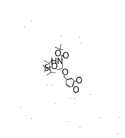 COc1ccc(COC(CNC(=O)OC(C)(C)C)CO[Si](C(C)C)(C(C)C)C(C)C)cc1OC